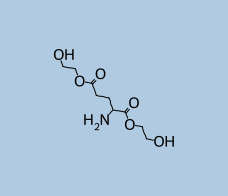 NC(CCC(=O)OCCO)C(=O)OCCO